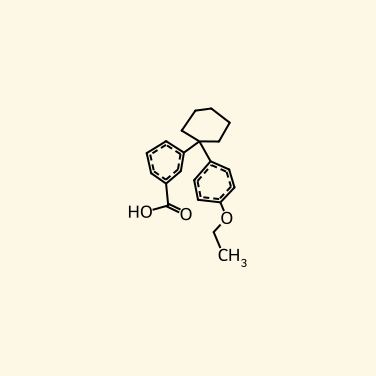 CCOc1ccc(C2(c3cccc(C(=O)O)c3)CCCCC2)cc1